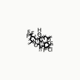 Cc1cc(C(F)(F)F)cc(N2C(O)N(CC3CO3)C[C@H]2C(=O)N(C)c2ccc(F)c(Cl)c2F)n1